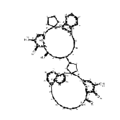 O=C1CCC(C2CCC3(C2)Cn2cc(O)c(=O)c(n2)C(=O)NCCCCCCc2ccnc4c2ccn43)CCCc2cn(c3ncccc23)C2(CCCC2)Cn2cc(O)c(=O)c1n2